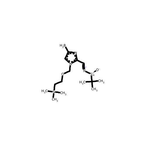 Bc1cn(COCC[Si](C)(C)C)c(/C=N/[S@@+]([O-])C(C)(C)C)n1